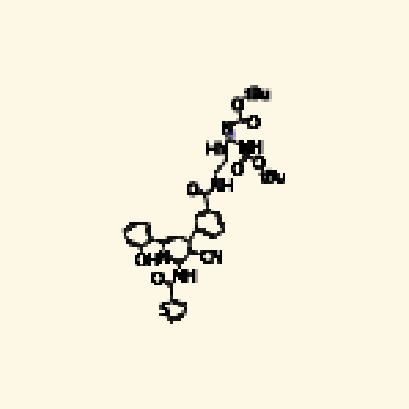 CC(C)(C)OC(=O)/N=C(/NCCNC(=O)c1cccc(-c2cc(-c3ccccc3O)nc(NC(=O)c3cccs3)c2C#N)c1)NC(=O)OC(C)(C)C